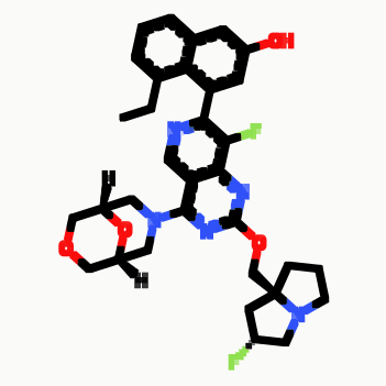 CCc1cccc2cc(O)cc(-c3ncc4c(N5C[C@H]6COC[C@@H](C5)O6)nc(OC[C@@]56CCCN5C[C@H](F)C6)nc4c3F)c12